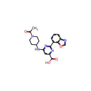 CC(=O)N1CCC(Nc2cc(C(=O)O)nc(-c3cccc4ncoc34)n2)CC1